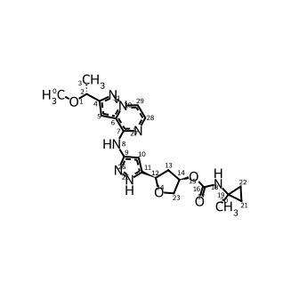 CO[C@H](C)c1cc2c(Nc3cc([C@H]4C[C@@H](OC(=O)NC5(C)CC5)CO4)[nH]n3)nccn2n1